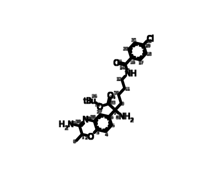 CC1Oc2ccc(C(N)(CCCCNC(=O)c3ccc(Cl)cc3)C(=O)OC(C)(C)C)cc2N=C1N